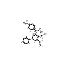 COc1nc(-c2ccncc2)nc([S+]([O-])c2ccc(C)cc2)c1C(F)(F)F